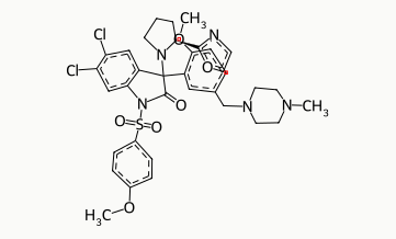 COc1ccc(S(=O)(=O)N2C(=O)C(c3cc(CN4CCN(C)CC4)ccc3OC)(N3CCC[C@H]3c3ncco3)c3cc(Cl)c(Cl)cc32)cc1